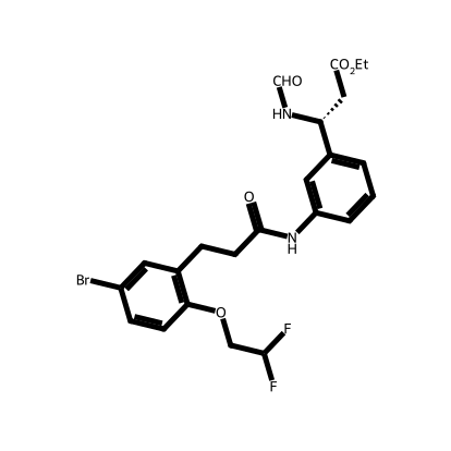 CCOC(=O)C[C@@H](NC=O)c1cccc(NC(=O)CCc2cc(Br)ccc2OCC(F)F)c1